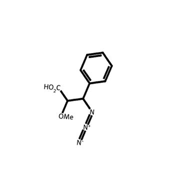 COC(C(=O)O)C(N=[N+]=[N-])c1ccccc1